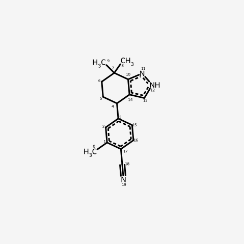 Cc1cc(C2CCC(C)(C)c3n[nH]cc32)ccc1C#N